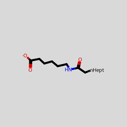 CCCCCCCCC(=O)NCCCCCC([O])=O